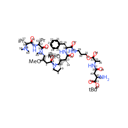 CC[C@H](C)[C@@H]([C@@H](CC(=O)N1CCC[C@H]1[C@H](OC)[C@@H](C)C(=O)N[C@@H](Cc1ccccc1)C(=O)NCCCOC(=O)C(C)NC(=O)CC(N)C(=O)OC(C)(C)C)OC)N(C)C(=O)C(NC(=O)[C@H](C(C)C)N(C)C)C(C)C